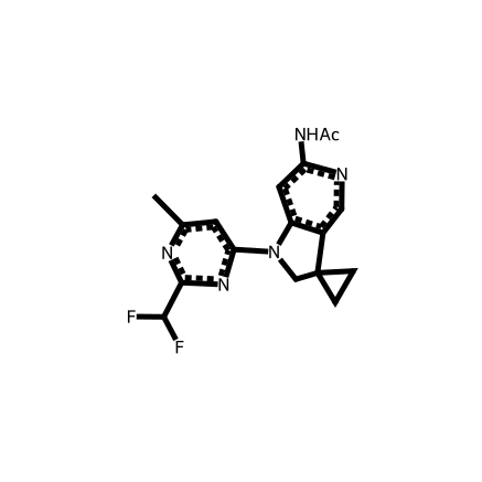 CC(=O)Nc1cc2c(cn1)C1(CC1)CN2c1cc(C)nc(C(F)F)n1